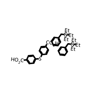 CC[N+](CC)(CC)Cc1ccccc1.CC[N+](CC)(CC)Cc1ccccc1.O=C(O)c1ccc(Sc2ccc(C(=O)O)cc2)cc1